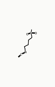 C=C=NCCCCS(C)(=O)=O